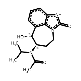 CC(=O)N(C(C)C)[C@@H]1CCn2c(=O)[nH]c3cccc(c32)[C@H]1O